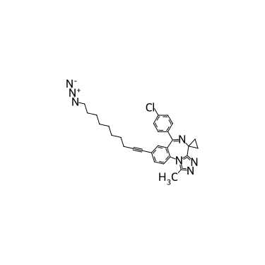 Cc1nnc2n1-c1ccc(C#CCCCCCCCCN=[N+]=[N-])cc1C(c1ccc(Cl)cc1)=NC21CC1